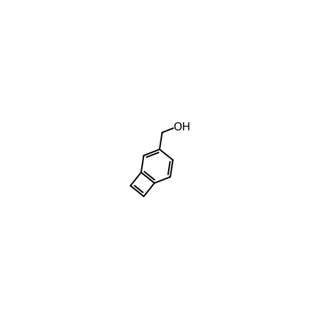 OCc1ccc2c(c1)C=C2